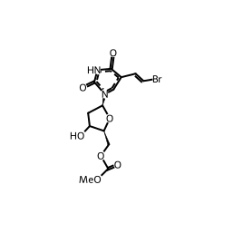 COC(=O)OC[C@@H]1O[C@H](n2cc(C=CBr)c(=O)[nH]c2=O)CC1O